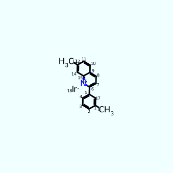 Cc1cccc(-c2ccc3ccc(C)cc3n2)c1.[Ir]